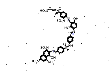 Nc1cc(S(=O)(=O)O)cc2cc(S(=O)(=O)O)c(/N=N/c3ccc(S(=O)(=O)Nc4ccc(/N=N/c5ccc(O)c(/N=N/c6ccc(S(=O)(=O)CCOS(=O)(=O)O)cc6S(=O)(=O)O)c5O)cc4)cc3)c(O)c12